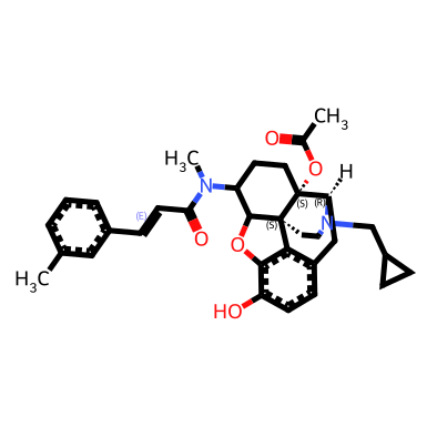 CC(=O)O[C@@]12CCC(N(C)C(=O)/C=C/c3cccc(C)c3)C3Oc4c(O)ccc5c4[C@@]31CCN(CC1CC1)[C@@H]2C5